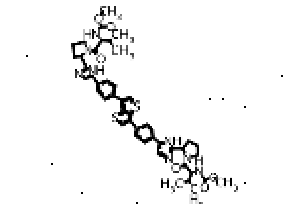 COC(=O)N[C@H](C(=O)N1CCCC1c1ncc(-c2ccc(-c3csc4c(-c5ccc(-c6cnc(C7CCCN7C(=O)[C@@H](NC(=O)OC)C(C)C)[nH]6)cc5)csc34)cc2)[nH]1)C(C)C